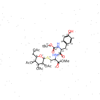 COC(=O)C(CSC1OC(COC(C)=O)C(OC(C)=O)C(OC(C)=O)C1OC(C)=O)NC(=O)C(Cc1ccc(O)cc1)NC(=O)OC(C)(C)C